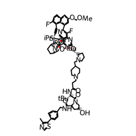 COCOc1cc(-c2ncc3c(N4CC5CCC(C4)N5C(=O)OC(C)(C)C)nc(OC[C@@H]4CCCN4CC4CCN(CCC(=O)N[C@H](C(=O)N5C[C@H](O)C[C@H]5C(=O)NCc5ccc(-c6scnc6C)cc5)C(C)(C)C)CC4)nc3c2F)c2c(C#C[Si](C(C)C)(C(C)C)C(C)C)c(F)ccc2c1